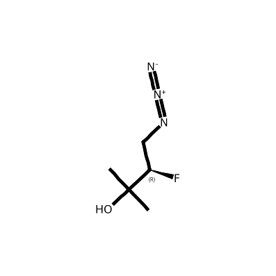 CC(C)(O)[C@H](F)CN=[N+]=[N-]